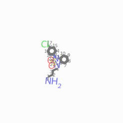 NCCCCN1c2ccccc2N(c2ccc(Cl)cc2)S1(=O)=O